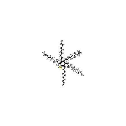 CCCCCCCCCCc1c([S])c(CCCCCCCCCC)c(CCCCCCCCCC)c(CCCCCCCCCC)c1CCCCCCCCCC